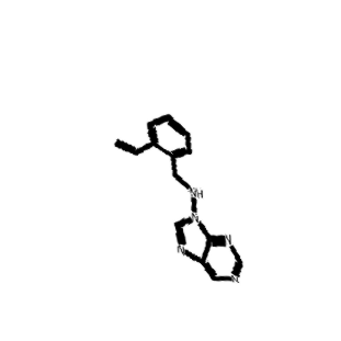 C=Cc1ccccc1CNn1cnc2cncnc21